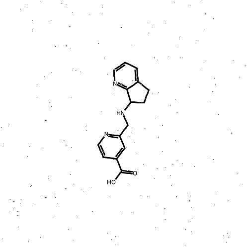 O=C(O)c1ccnc(CNC2CCc3cccnc32)c1